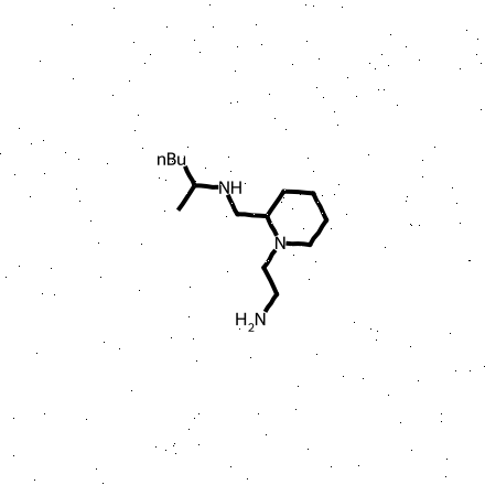 CCCCC(C)NCC1CCCCN1CCN